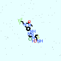 CCN1C(=O)CN(CCC(F)(F)F)Cc2ccc(Nc3ncc(Cl)c(Nc4ccsc4C(=O)NC)n3)cc21